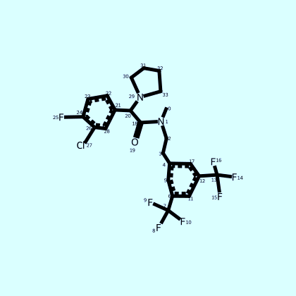 CN(CCc1cc(C(F)(F)F)cc(C(F)(F)F)c1)C(=O)C(c1ccc(F)c(Cl)c1)N1CCCC1